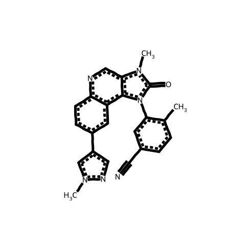 Cc1ccc(C#N)cc1-n1c(=O)n(C)c2cnc3ccc(-c4cnn(C)c4)cc3c21